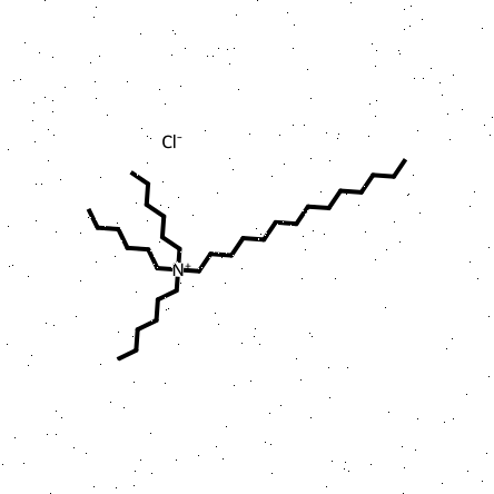 CCCCCCCCCCCCCC[N+](CCCCCC)(CCCCCC)CCCCCC.[Cl-]